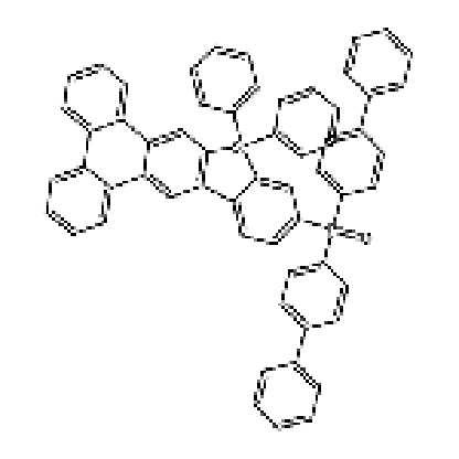 O=P(c1ccc(-c2ccccc2)cc1)(c1ccc(-c2ccccc2)cc1)c1ccc2c(c1)[Si](c1ccccc1)(c1ccccc1)c1cc3c4ccccc4c4ccccc4c3cc1-2